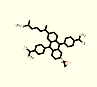 CCCCCC(C)CCCC(C)C1CCC2C(C1)C(C1CCC(C(CC)CCCC)CC1)C1CCC([C@@H]3BC3)CC1C2C1CCC(C(CC)CCCC)CC1